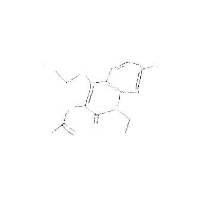 CCOc1c(OC(C)=O)c(=O)n(CC)c2cc(N)ccc12